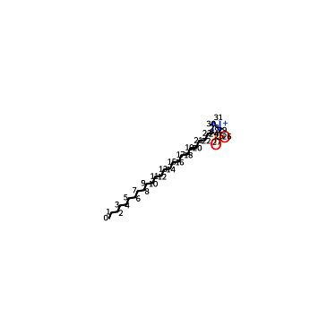 CCCCCCCCCCCCCCCCCCCC=CCCCC(P(=O)=O)[N+](C)(C)C